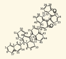 c1ccc2cc(-c3c4ccccc4c(-c4ccc(-c5cc6oc7ccc8oc9ccccc9c8c7c6c6ccccc56)c5ccccc45)c4ccccc34)ccc2c1